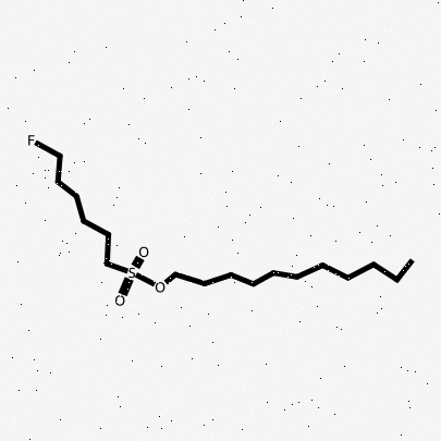 CCCCCCCCCCCOS(=O)(=O)CCCCCCF